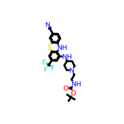 CC(C)(C)OC(=O)NCCN1CCC(Nc2cc(C(F)(F)F)cc3c2Nc2ccc(C#N)cc2S3)CC1